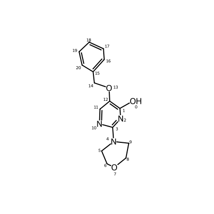 Oc1nc(N2CCOCC2)ncc1OCc1ccccc1